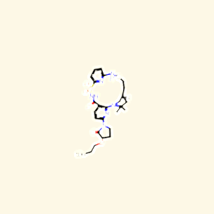 CC(C)(C)CCO[C@H]1CCN(c2ccc3c(n2)N2C[C@@H](CCCNc4cccc(n4)S(=O)(=O)NC3=O)CC2(C)C)C1=O